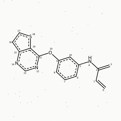 C=CC(=C)Nc1cccc(Oc2ncnc3ccsc23)c1